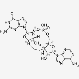 C[C@H]1[C@H]2OP(=O)(O)OC[C@H]3O[C@@H](n4cnc5c(N)ncnc54)[C@H](O)[C@@H]3CCC[C@H]1O[C@H]2n1cnc2c(=O)[nH]c(N)nc21